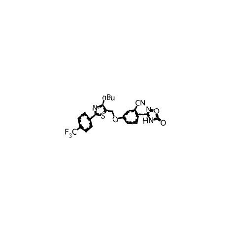 CCCCc1nc(-c2ccc(C(F)(F)F)cc2)sc1COc1ccc(-c2noc(=O)[nH]2)c(C#N)c1